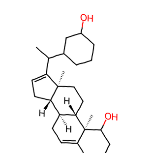 CC(C1=CC[C@H]2[C@@H]3CC=C4CCCC(O)[C@]4(C)[C@H]3CC[C@]12C)C1CCCC(O)C1